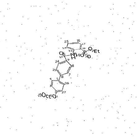 CCCCCCCCOc1ccc(-c2ccc(C(=O)Nc3ccccc3P(=O)(O)OCC)cc2)cc1